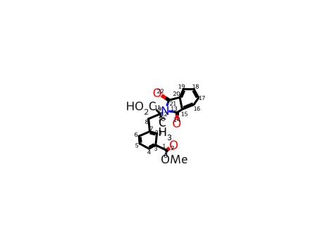 COC(=O)c1cccc(CC(C)(C(=O)O)N2C(=O)c3ccccc3C2=O)c1